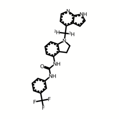 [2H]C([2H])(c1ccnc2[nH]ccc12)N1CCc2c(NC(=O)Nc3cccc(C(F)(F)F)c3)cccc21